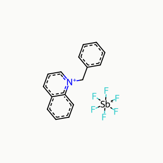 [F][Sb-]([F])([F])([F])([F])[F].c1ccc(C[n+]2cccc3ccccc32)cc1